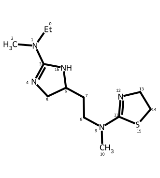 CCN(C)C1=NCC(CCN(C)C2=NCCS2)N1